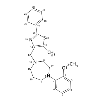 COc1ccccc1N1CCCN(Cc2nc(-c3ccccc3)sc2C)CC1